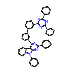 c1ccc(-c2nc(-c3ccccc3)nc(-c3cccc(-c4cccc(-c5nc(-c6ccccc6)nc6c5c5ccccc5n6-c5ccccc5)c4)c3)n2)cc1